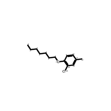 CCCCCCCOc1ccc(C)cc1Cl